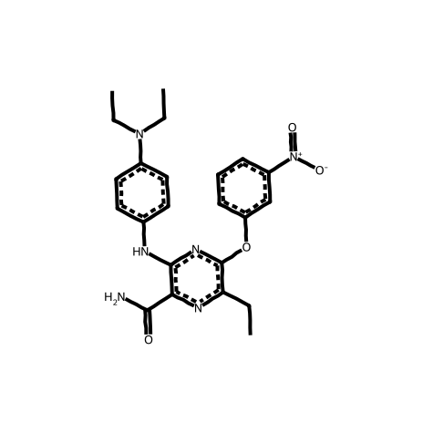 CCc1nc(C(N)=O)c(Nc2ccc(N(CC)CC)cc2)nc1Oc1cccc([N+](=O)[O-])c1